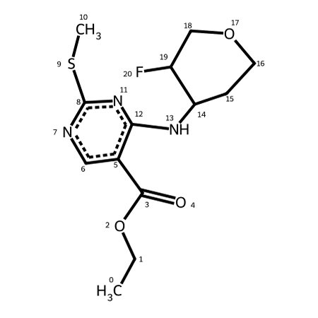 CCOC(=O)c1cnc(SC)nc1NC1CCOCC1F